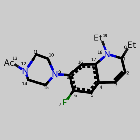 CCC1C=Cc2cc(F)c(N3CCN(C(C)=O)CC3)cc2N1CC